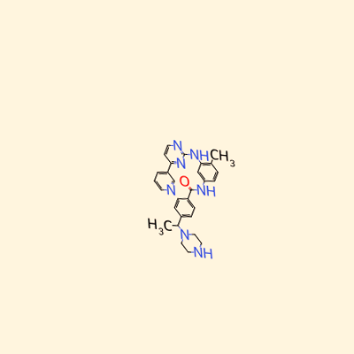 Cc1ccc(NC(=O)c2ccc(C(C)N3CCNCC3)cc2)cc1Nc1nccc(-c2cccnc2)n1